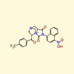 O=C(c1ccc(C(F)(F)F)cc1)C1C[N@@]2CC3C(=O)N(c4ccc([N+](=O)O)c5ccccc45)C(=O)[N+]13C2